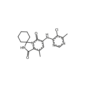 Cc1cc(Nc2ncnc(C)c2Cl)c(=O)n2c1C(=O)NC21CCCCC1